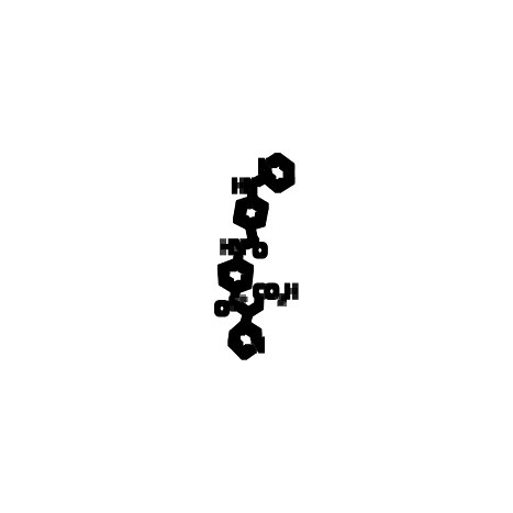 O=C(O)CC(c1cccnc1)[S+]([O-])c1ccc(NC(=O)c2ccc(Nc3ccccn3)cc2)cc1